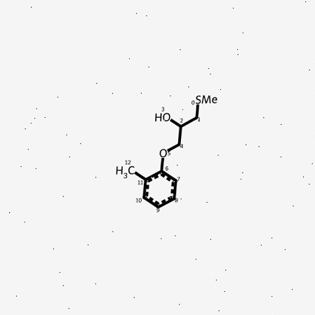 CSCC(O)COc1ccccc1C